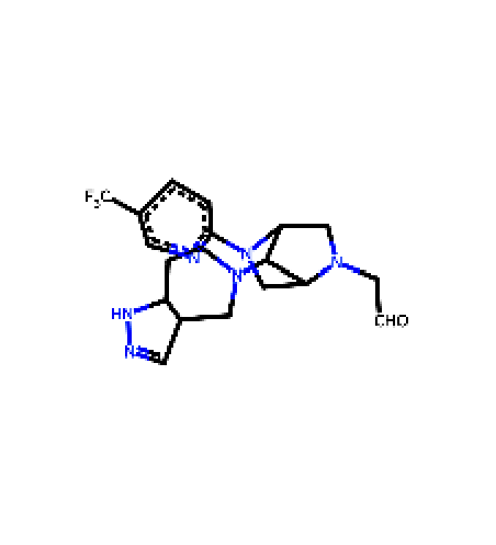 O=CCN1CC2C(N3CCC4NN=CC4C3)C1CN2c1ccc(C(F)(F)F)cn1